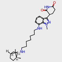 Cn1nc(C2CCC(=O)NC2=O)c2cccc(NCCCCCCCN[C@H]3C[C@H]4CC[C@]3(C)C4(C)C)c21